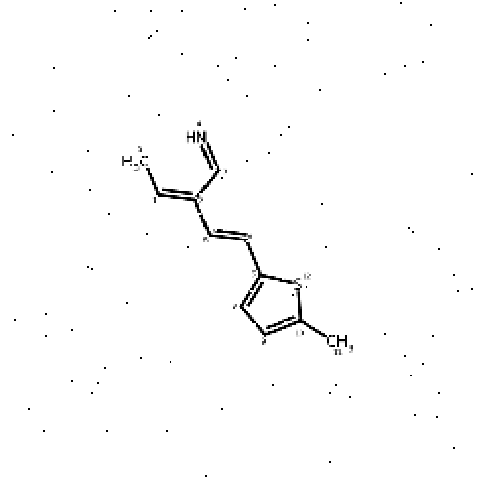 C/C=C(C=N)/C=C/c1ccc(C)s1